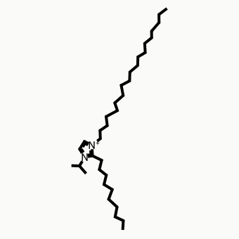 CCCCCCCCCCCCCCCCCCC[n+]1ccn(C(C)C)c1CCCCCCCCCC